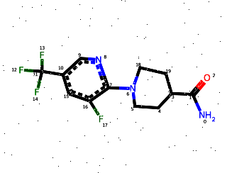 NC(=O)C1CCN(c2ncc(C(F)(F)F)cc2F)CC1